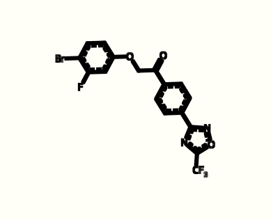 O=C(COc1ccc(Br)c(F)c1)c1ccc(-c2noc(C(F)(F)F)n2)cc1